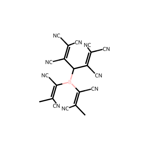 CC(C#N)=C(C#N)B(C(C#N)=C(C)C#N)C(C(C#N)=C(C#N)C#N)C(C#N)=C(C#N)C#N